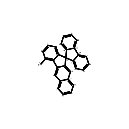 Clc1cccc2c1-c1cc3ccccc3cc1C21c2ccccc2-c2ccccc21